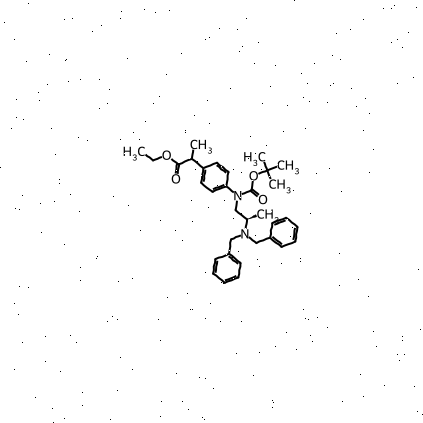 CCOC(=O)C(C)c1ccc(N(C[C@@H](C)N(Cc2ccccc2)Cc2ccccc2)C(=O)OC(C)(C)C)cc1